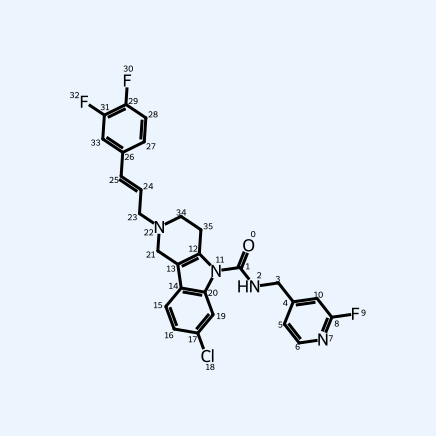 O=C(NCc1ccnc(F)c1)n1c2c(c3ccc(Cl)cc31)CN(C/C=C/c1ccc(F)c(F)c1)CC2